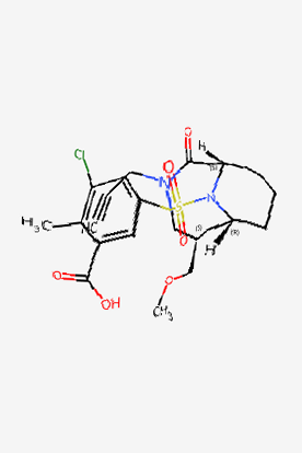 C#CCN1C[C@H](COC)[C@H]2CCC[C@@H](C1=O)N2S(=O)(=O)c1cc(Cl)c(C)c(C(=O)O)c1